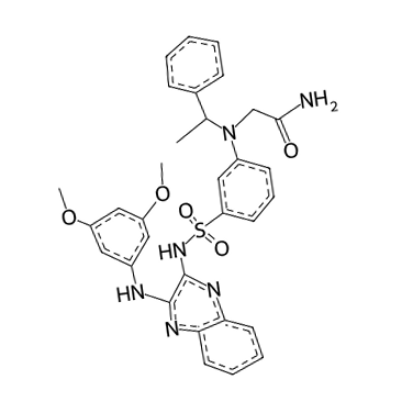 COc1cc(Nc2nc3ccccc3nc2NS(=O)(=O)c2cccc(N(CC(N)=O)C(C)c3ccccc3)c2)cc(OC)c1